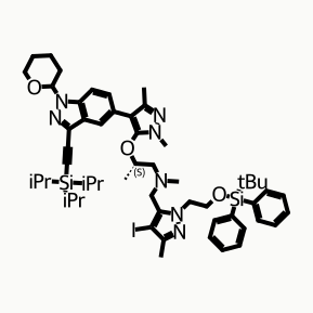 Cc1nn(CCO[Si](c2ccccc2)(c2ccccc2)C(C)(C)C)c(CN(C)C[C@H](C)Oc2c(-c3ccc4c(c3)c(C#C[Si](C(C)C)(C(C)C)C(C)C)nn4C3CCCCO3)c(C)nn2C)c1I